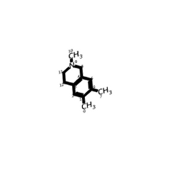 Cc1cc2c(cc1C)CN(C)CC2